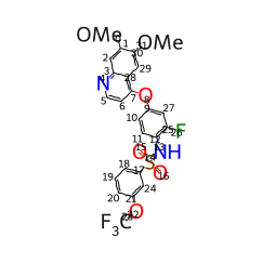 COc1cc2nccc(Oc3ccc(NS(=O)(=O)c4cccc(OC(F)(F)F)c4)c(F)c3)c2cc1OC